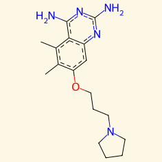 Cc1c(OCCCN2CCCC2)cc2nc(N)nc(N)c2c1C